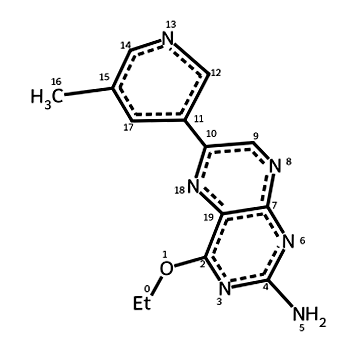 CCOc1nc(N)nc2ncc(-c3cncc(C)c3)nc12